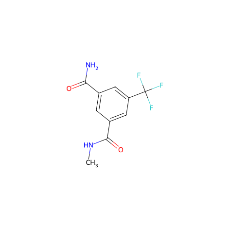 CNC(=O)c1cc(C(N)=O)cc(C(F)(F)F)c1